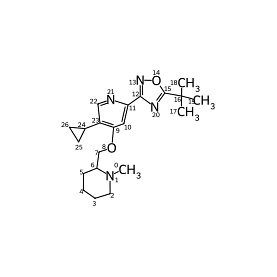 CN1CCCCC1COc1cc(-c2noc(C(C)(C)C)n2)ncc1C1CC1